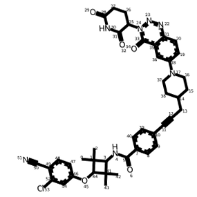 CC1(C)C(NC(=O)c2ccc(C#CCC3CCN(c4ccc5nnn(C6CCC(=O)NC6=O)c(=O)c5c4)CC3)cc2)C(C)(C)C1Oc1ccc(C#N)c(Cl)c1